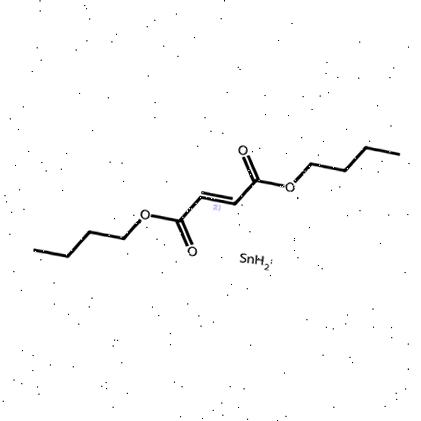 CCCCOC(=O)/C=C/C(=O)OCCCC.[SnH2]